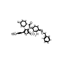 CC(C)(C)C#Cc1cc(N(C(=O)[C@H]2CC[C@H](C)CC2)C2CCC(=NOCc3ccccc3)CC2)c(C(=O)O)s1